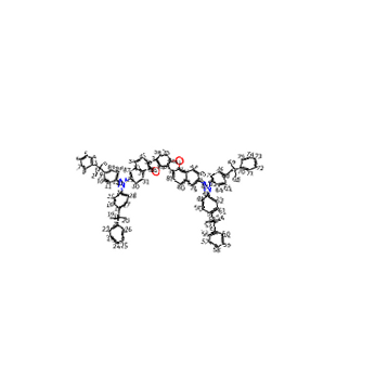 CC(C)(c1ccccc1)c1ccc(N(c2ccc(C(C)(C)c3ccccc3)cc2)c2ccc3c(ccc4c5ccc6oc7c8ccc(N(c9ccc(C(C)(C)c%10ccccc%10)cc9)c9ccc(C(C)(C)c%10ccccc%10)cc9)cc8ccc7c6c5oc34)c2)cc1